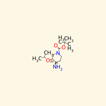 CC(C)O[C@H]1CN(C(=O)OC(C)(C)C)CC[C@H]1N